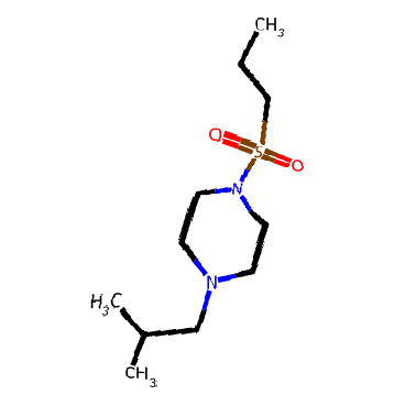 CCCS(=O)(=O)N1CCN(CC(C)C)CC1